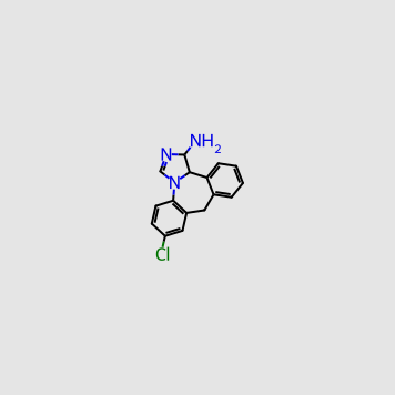 NC1N=CN2c3ccc(Cl)cc3Cc3ccccc3C12